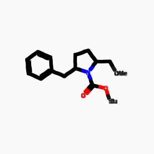 COCC1CCC(Cc2ccccc2)N1C(=O)OC(C)(C)C